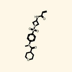 C=CC(=O)NC1CN(S(=O)(=O)c2ccc(N(C)C(=O)C3CCOCC3)cc2)C1